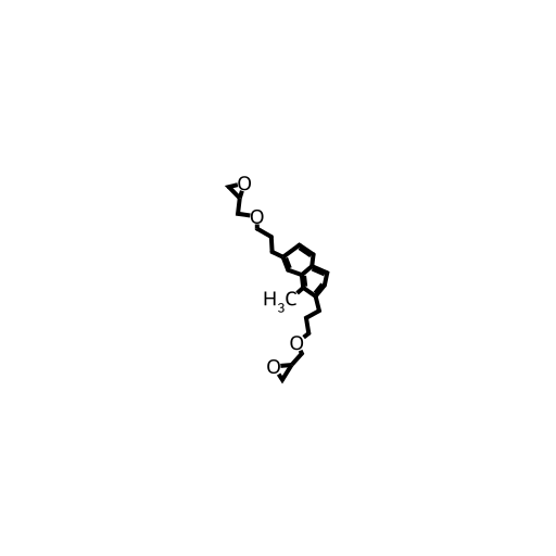 Cc1c(CCCOCC2CO2)ccc2ccc(CCCOCC3CO3)cc12